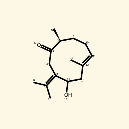 CC(C)=C1CC(=O)[C@@H](C)CC/C=C(\C)CC1O